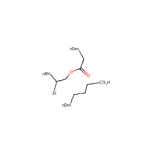 CCCCCCCCCCCC(=O)OCC(CC)CCCC.CCCCCCCCCCCCCC(=O)O